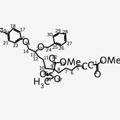 COC(=O)CCCCCCC(CCCC(COc1ccc(F)cc1)OCc1ccccc1)(C(=O)OC)S(C)(=O)=O